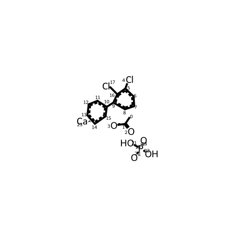 CC(=O)[O-].Clc1cccc(-c2ccccc2)c1Cl.O=P([O-])(O)O.[Ca+2]